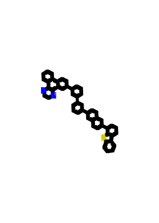 c1cc(-c2cccc(-c3ccc4c5ccccc5c5nccnc5c4c3)c2)cc(-c2ccc3cc(-c4cccc5c4sc4ccccc45)ccc3c2)c1